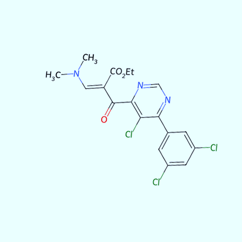 CCOC(=O)/C(=C\N(C)C)C(=O)c1ncnc(-c2cc(Cl)cc(Cl)c2)c1Cl